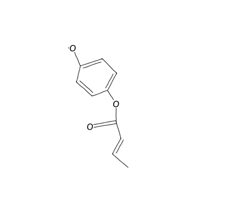 C/C=C/C(=O)Oc1ccc([O])cc1